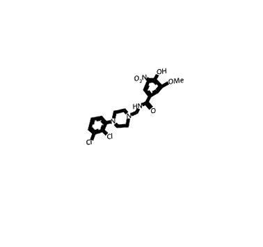 COc1cc(C(=O)NCN2CCN(c3cccc(Cl)c3Cl)CC2)cc([N+](=O)[O-])c1O